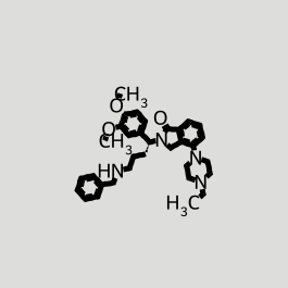 CCN1CCN(c2cccc3c2CN([C@H](CCCNCc2ccccc2)c2ccc(OC)c(OC)c2)C3=O)CC1